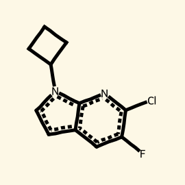 Fc1cc2ccn(C3CCC3)c2nc1Cl